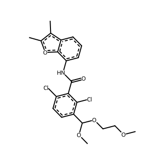 COCCOC(OC)c1ccc(Cl)c(C(=O)Nc2cccc3c(C)c(C)oc23)c1Cl